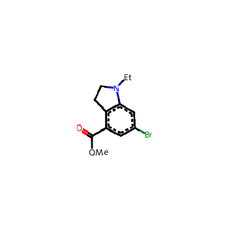 CCN1CCc2c(C(=O)OC)cc(Br)cc21